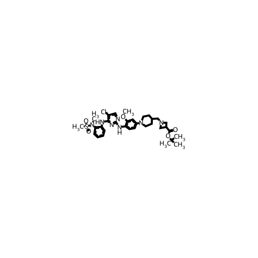 COc1cc(N2CCC(CN3CC(C(=O)OC(C)(C)C)C3)CC2)ccc1Nc1ncc(Cl)c(Nc2ccccc2N(C)S(C)(=O)=O)n1